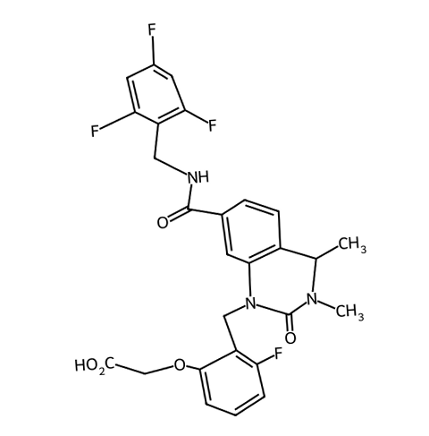 CC1c2ccc(C(=O)NCc3c(F)cc(F)cc3F)cc2N(Cc2c(F)cccc2OCC(=O)O)C(=O)N1C